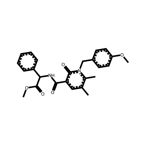 COC(=O)C(NC(=O)c1cc(C)c(C)n(Cc2ccc(OC)cc2)c1=O)c1ccccc1